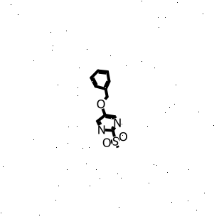 CS(=O)(=O)c1ncc(OCc2ccccc2)cn1